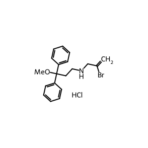 C=C(Br)CNCCC(OC)(c1ccccc1)c1ccccc1.Cl